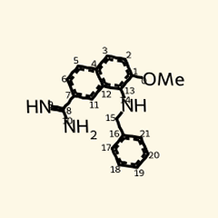 COc1ccc2ccc(C(=N)N)cc2c1NCc1ccccc1